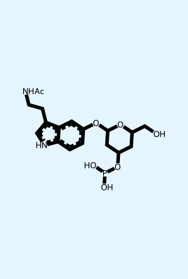 CC(=O)NCCc1c[nH]c2ccc(OC3CC(OP(O)O)CC(CO)O3)cc12